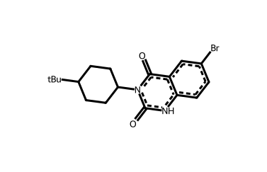 CC(C)(C)C1CCC(n2c(=O)[nH]c3ccc(Br)cc3c2=O)CC1